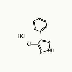 Cl.Clc1n[nH]cc1-c1ccccc1